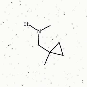 CCN(C)CC1(C)CC1